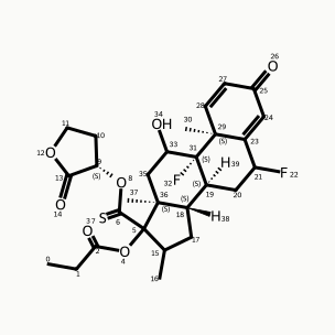 CCC(=O)OC1(C(=S)O[C@H]2CCOC2=O)C(C)C[C@H]2[C@@H]3CC(F)C4=CC(=O)C=C[C@]4(C)[C@]3(F)C(O)C[C@@]21C